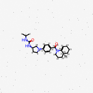 CC(C)NC(=O)NC1CCN(c2ccc(C(=O)N3CCC[C@@H]4CCCC=C43)cc2)C1